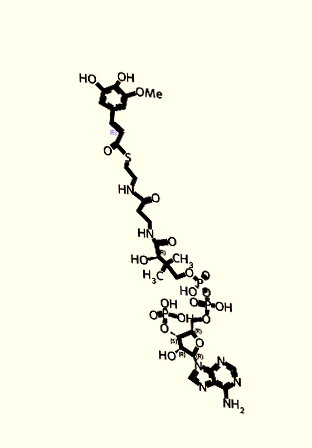 COc1cc(/C=C/C(=O)SCCNC(=O)CCNC(=O)[C@H](O)C(C)(C)COP(=O)(O)OP(=O)(O)OC[C@H]2O[C@@H](n3cnc4c(N)ncnc43)[C@H](O)[C@@H]2OP(=O)(O)O)cc(O)c1O